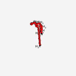 CCN(COC/C(C)=C/CCP(=O)(N[C@@H](C)C(=O)OCc1ccccc1)Oc1ccc(C#CCOCCOCCOCCOCCOCCOCCOCCOC)cc1)C(=O)OCc1ccc(NC(=O)[C@H](C)N=[N+]=[N-])cc1